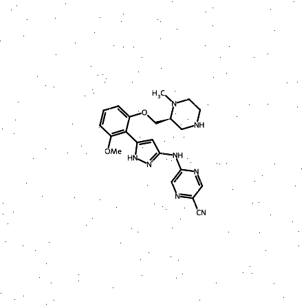 COc1cccc(OC[C@@H]2CNCCN2C)c1-c1cc(Nc2cnc(C#N)cn2)n[nH]1